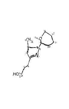 Cc1cc(CCS(=O)(=O)O)nn1C1CCCCO1